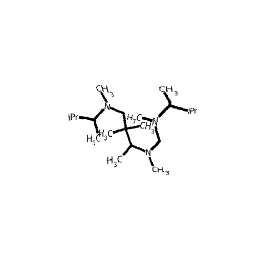 CC(C)C(C)N(C)CN(C)C(C)C(C)(C)CN(C)C(C)C(C)C